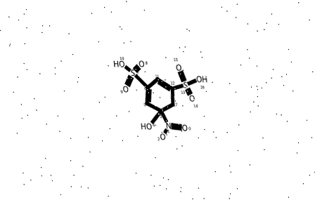 O=[N+]([O-])C1(O)C=C(S(=O)(=O)O)C=C(S(=O)(=O)O)C1